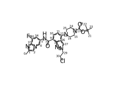 Cc1cn2cc(NC(=O)c3ccc(N4CCN(C(=O)OC(C)(C)C)CC4)c4cn(CCCl)nc34)cc(F)c2n1